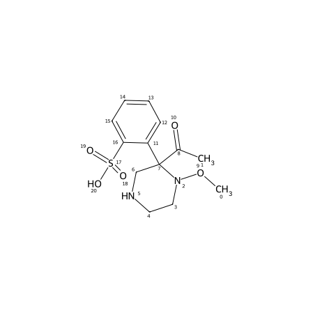 CON1CCNCC1(C(C)=O)c1ccccc1S(=O)(=O)O